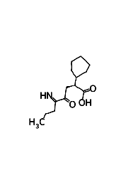 CCCC(=N)C(=O)C[C@H](C(=O)O)C1CCCCC1